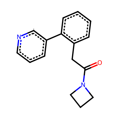 O=C(Cc1ccccc1-c1[c]nccc1)N1CCC1